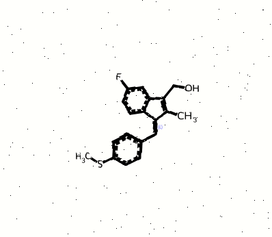 CSc1ccc(/C=C2/C(C)=C(CO)c3cc(F)ccc32)cc1